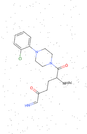 CC(=O)NC(CCC(=O)C=N)C(=O)N1CCN(c2ccccc2Cl)CC1